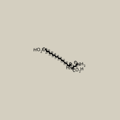 NC(=O)CCC(NC(=O)CCCCCCCCCCCCCCCCC(=O)O)C(=O)O